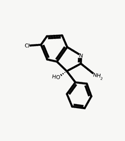 NC1=Nc2ccc(Cl)cc2[C@]1(O)c1ccccc1